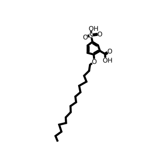 CCCCCCCCCCCCCCCCOc1ccc(S(=O)(=O)O)cc1C(=O)O